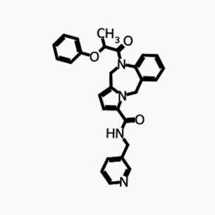 CC(Oc1ccccc1)C(=O)N1Cc2ccc(C(=O)NCc3cccnc3)n2Cc2ccccc21